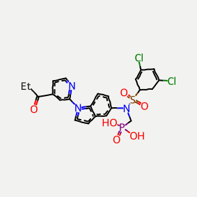 CCC(=O)c1ccnc(-n2ccc3cc(N(CP(=O)(O)O)S(=O)(=O)C4C=C(Cl)C=C(Cl)C4)ccc32)c1